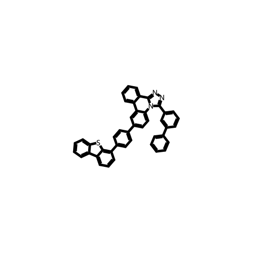 c1ccc(-c2cccc(-c3nnc4c5ccccc5c5cc(-c6ccc(-c7cccc8c7sc7ccccc78)cc6)ccc5n34)c2)cc1